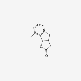 Cc1cccc2c1C1OC(=O)CC1C2